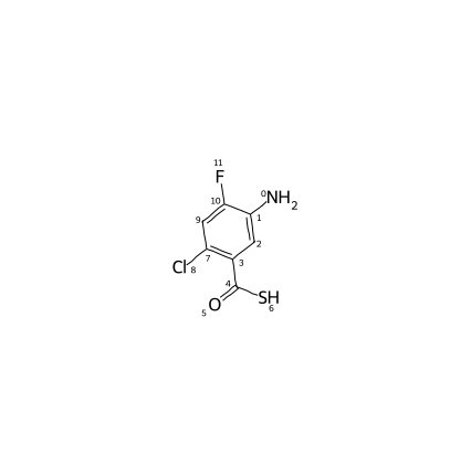 Nc1cc(C(=O)S)c(Cl)cc1F